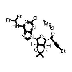 CCC#CC(=O)[C@H]1O[C@@H](n2cnc3c(NC(CC)CC)nc(Cl)nc32)[C@@H]2OC(C)(C)O[C@@H]21.[CH3][Mg][Cl]